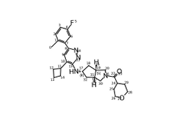 Cc1ccc(F)cc1-c1cc(C2CCC2)c(N[C@@H]2C[C@@H]3CN(C(=O)C4CCOCC4)C[C@@H]3C2)nn1